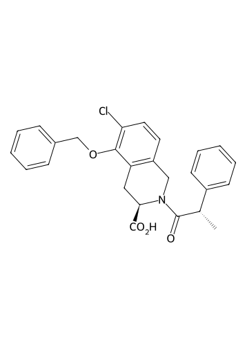 C[C@H](C(=O)N1Cc2ccc(Cl)c(OCc3ccccc3)c2C[C@@H]1C(=O)O)c1ccccc1